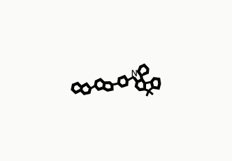 CC1(C)c2ccccc2-c2c1ccc1c(-c3ccc(-c4ccc5cc(-c6ccc7ccccc7c6)ccc5c4)cc3)nc3ccccc3c21